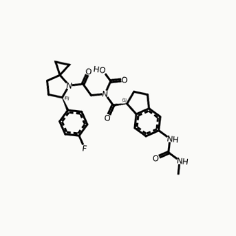 CNC(=O)Nc1ccc2c(c1)CC[C@@H]2C(=O)N(CC(=O)N1[C@@H](c2ccc(F)cc2)CCC12CC2)C(=O)O